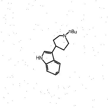 [CH2]CCCN1CCC(c2c[nH]c3ccccc23)CC1